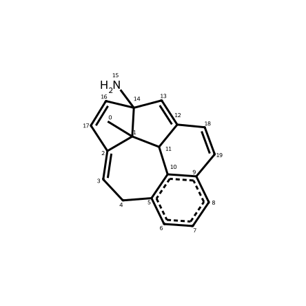 CC12C3=CCc4cccc5c4C1C(=CC2(N)C=C3)C=C5